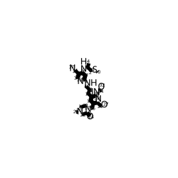 CSCC(C)Nc1cc(NCCCc2cc(CN3CCN(C)CC3=O)c(C=O)nc2NC=O)ncc1C#N